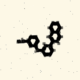 COc1cccc(Oc2cccc(-c3ncc4ccccc4n3)n2)c1